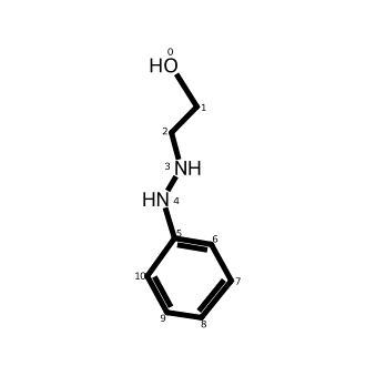 OCCNNc1ccccc1